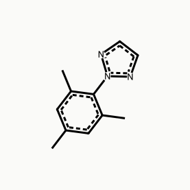 Cc1cc(C)c(-n2nccn2)c(C)c1